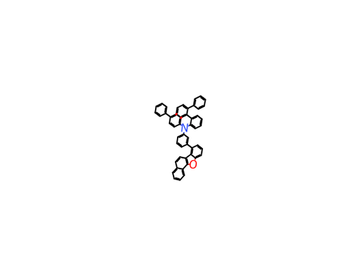 c1ccc(-c2ccc(N(c3cccc(-c4cccc5oc6c7ccccc7ccc6c45)c3)c3ccccc3-c3ccccc3-c3ccccc3)cc2)cc1